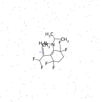 C/C=C(\C1=C(N(N)C(C)C)C(F)(F)CCC1(F)F)C(F)F